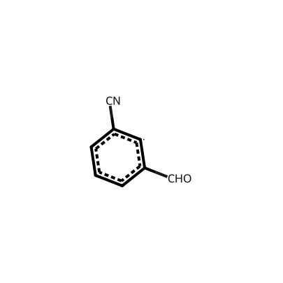 N#Cc1[c]c(C=O)ccc1